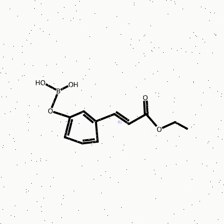 CCOC(=O)/C=C/c1cccc(OB(O)O)c1